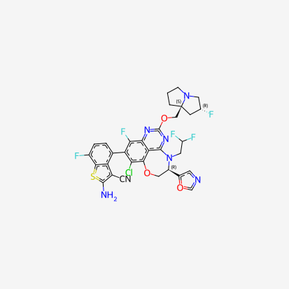 N#Cc1c(N)sc2c(F)ccc(-c3c(Cl)c4c5c(nc(OC[C@@]67CCCN6C[C@H](F)C7)nc5c3F)N(CC(F)F)[C@@H](c3cnco3)CO4)c12